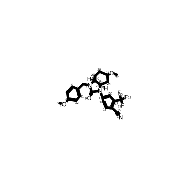 COc1ccc(CN2C(=O)N(c3ccc(C#N)c(C(F)(F)F)c3)[C@@H]3CC(OC)CC[C@H]32)cc1